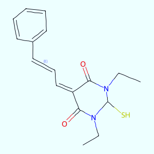 CCN1C(=O)C(=C/C=C/c2ccccc2)C(=O)N(CC)C1S